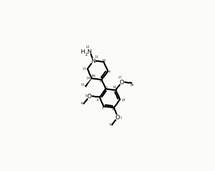 COc1cc(OC)c(C2=CCN(N)C[C@@H]2C)c(OC)c1